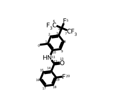 Cc1cc(C(F)(C(F)(F)F)C(F)(F)F)ccc1NC(=O)c1ccccc1F